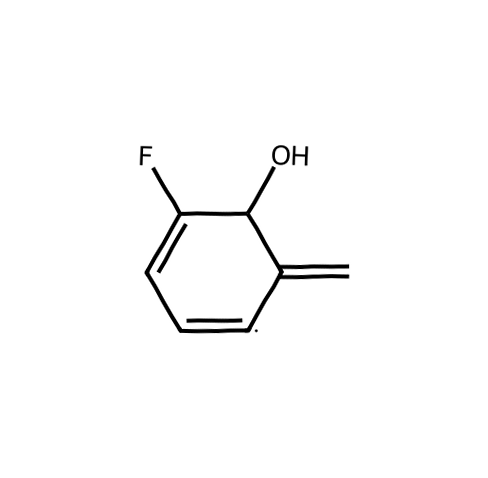 C=C1[C]=CC=C(F)C1O